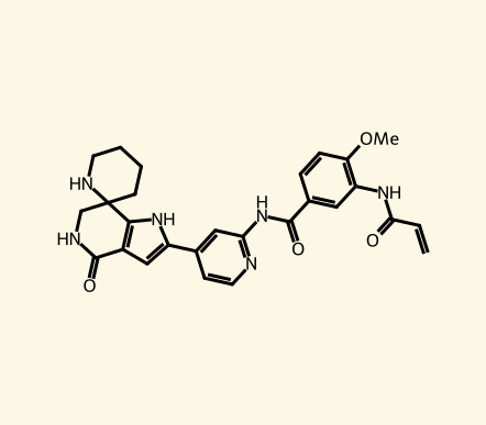 C=CC(=O)Nc1cc(C(=O)Nc2cc(-c3cc4c([nH]3)C3(CCCCN3)CNC4=O)ccn2)ccc1OC